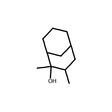 CC1CC2CCCC(C2)C1(C)O